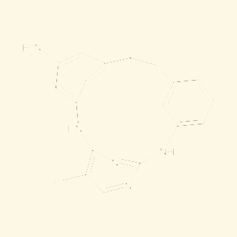 Nc1cc2cc(c1)Nc1nc(ncc1Cl)Nc1cccc(c1)CC2